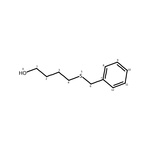 OCCCCSCc1ccccc1